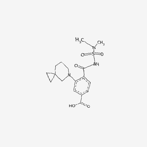 CN(C)S(=O)(=O)NC(=O)c1ccc(C(=O)O)cc1N1CCCC2(CC2)C1